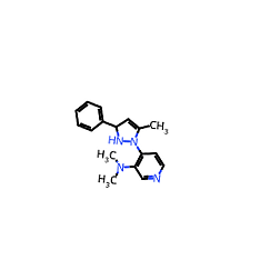 CC1=CC(c2ccccc2)NN1c1ccncc1N(C)C